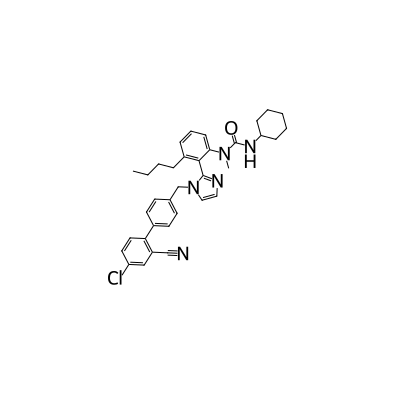 CCCCc1cccc(N(C)C(=O)NC2CCCCC2)c1-c1nccn1Cc1ccc(-c2ccc(Cl)cc2C#N)cc1